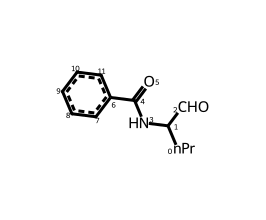 CCCC(C=O)NC(=O)c1ccccc1